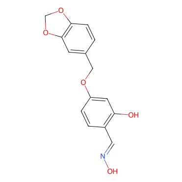 O/N=C/c1ccc(OCc2ccc3c(c2)OCO3)cc1O